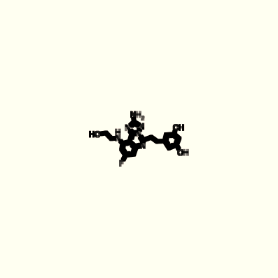 Nc1nc2c3c(NCCO)cc(F)cc3nc(CCc3cc(O)cc(O)c3)n2n1